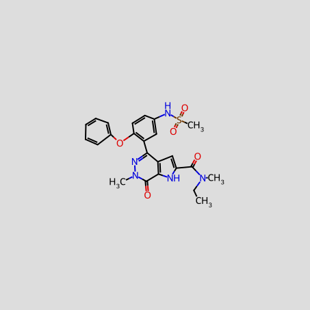 CCN(C)C(=O)c1cc2c(-c3cc(NS(C)(=O)=O)ccc3Oc3ccccc3)nn(C)c(=O)c2[nH]1